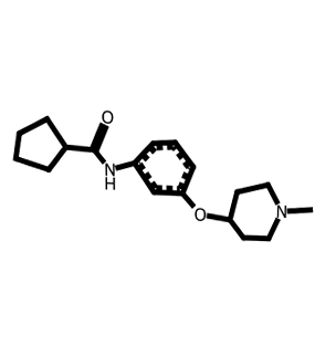 CN1CCC(Oc2cccc(NC(=O)C3CCCC3)c2)CC1